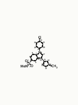 CNS(=O)(=O)c1ccc2c(c1)c(-c1cn(C)cn1)cn2-c1ccc(Cl)cc1